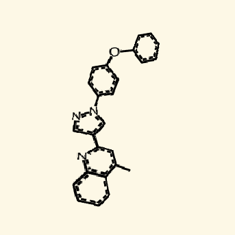 Cc1cc(-c2cnn(-c3ccc(Oc4ccccc4)cc3)c2)nc2ccccc12